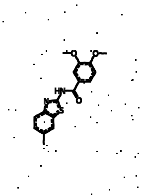 COc1ccc(C(=O)Nc2nc3ccc(C)cc3s2)cc1OC